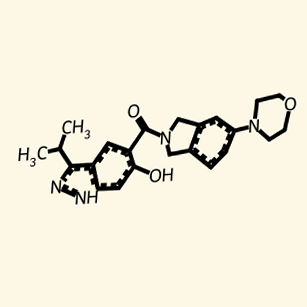 CC(C)c1n[nH]c2cc(O)c(C(=O)N3Cc4ccc(N5CCOCC5)cc4C3)cc12